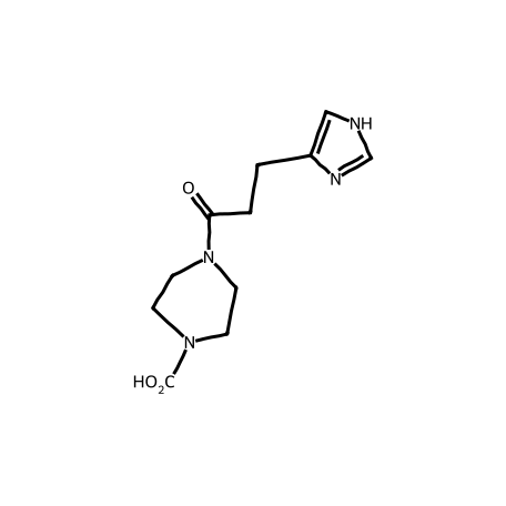 O=C(O)N1CCN(C(=O)CCc2c[nH]cn2)CC1